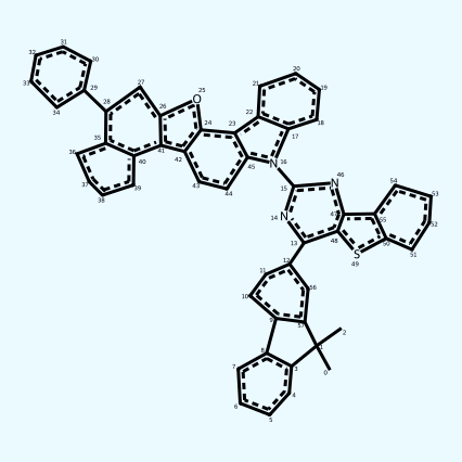 CC1(C)c2ccccc2-c2ccc(-c3nc(-n4c5ccccc5c5c6oc7cc(-c8ccccc8)c8ccccc8c7c6ccc54)nc4c3sc3ccccc34)cc21